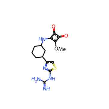 COc1c(NC2CCCC(c3csc(NC(=N)N)n3)C2)c(=O)c1=O